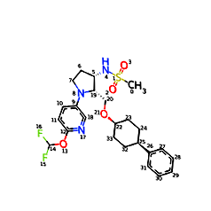 CS(=O)(=O)N[C@H]1CCN(c2ccc(OC(F)F)nc2)[C@H]1CO[C@H]1CC[C@@H](c2ccccc2)CC1